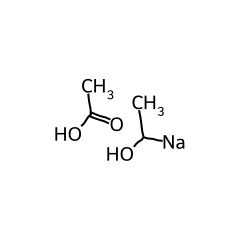 CC(=O)O.C[CH](O)[Na]